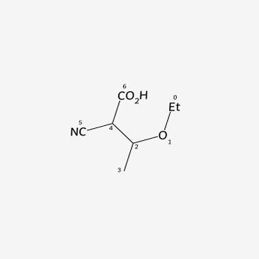 CCOC(C)C(C#N)C(=O)O